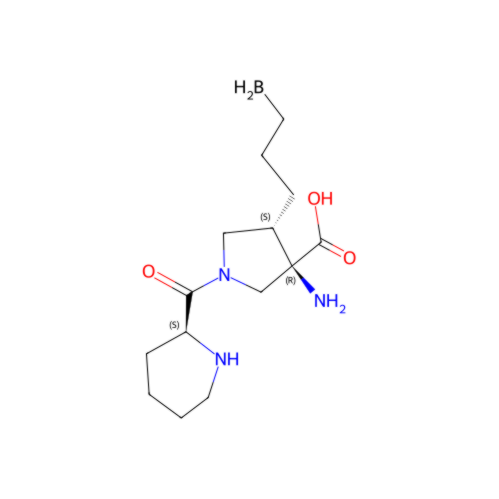 BCCC[C@H]1CN(C(=O)[C@@H]2CCCCN2)C[C@@]1(N)C(=O)O